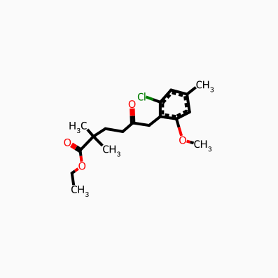 CCOC(=O)C(C)(C)CCC(=O)Cc1c(Cl)cc(C)cc1OC